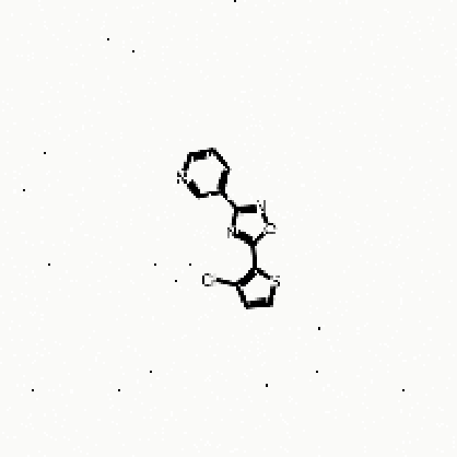 Clc1ccsc1-c1nc(-c2cccnc2)no1